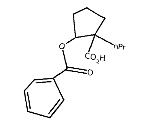 CCCC1(C(=O)O)CCCC1OC(=O)c1ccccc1